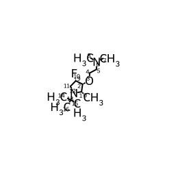 C[C@@H]1[C@H](OCCN(C)C)[C@@H](F)CN1C(C)(C)C